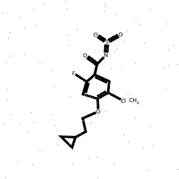 C.O=C(N=S(=O)=O)c1cc(Cl)c(OCCC2CC2)cc1F